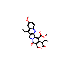 CCc1c2c(nc3ccc(OC)cc13)-c1c(C(=O)OC)c3c(c(=O)n1C2)COC(=O)C3CC